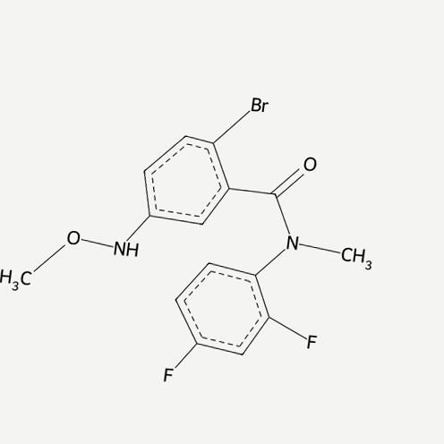 CONc1ccc(Br)c(C(=O)N(C)c2ccc(F)cc2F)c1